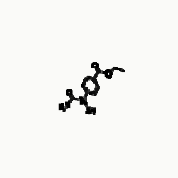 CCOC(=O)c1ccc(N(S)C(N)=O)cc1